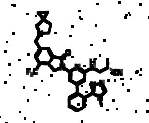 C[C@H](C#N)CNc1cc(-c2ccccc2-c2nncn2C)cc(N2Cc3c(cc(CN4CCC5(CC5)C4)cc3C(F)(F)F)C2=O)n1